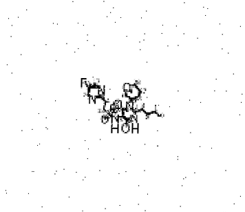 CCCCc1nc(O)c(NS(=O)(=O)CCc2ncc(F)cn2)c(=O)n1[C@@H]1CCCOC1